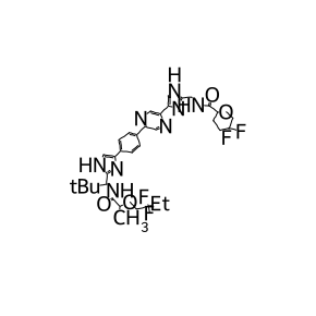 CCC(F)(F)COC(C)C(=O)NC(c1nc(-c2ccc(-c3cnc(-c4c[nH]c(CNC(=O)C5CCC(F)(F)CO5)n4)cn3)cc2)c[nH]1)C(C)(C)C